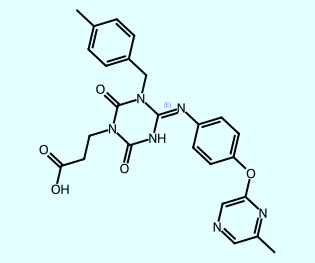 Cc1ccc(Cn2c(=O)n(CCC(=O)O)c(=O)[nH]/c2=N\c2ccc(Oc3cncc(C)n3)cc2)cc1